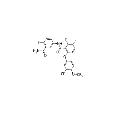 Cc1ccc(Oc2ccc(OC(F)(F)F)c(Cl)c2)c(C(=O)Nc2ccc(F)c(C(N)=O)c2)c1F